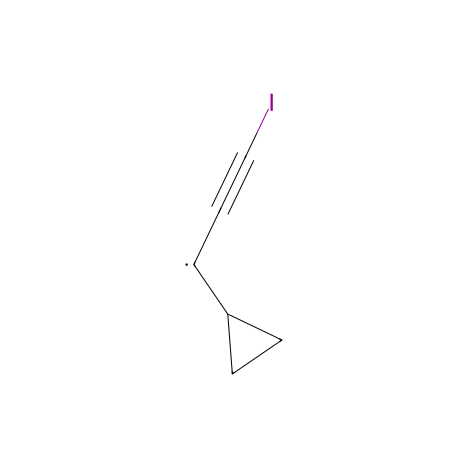 IC#C[CH]C1CC1